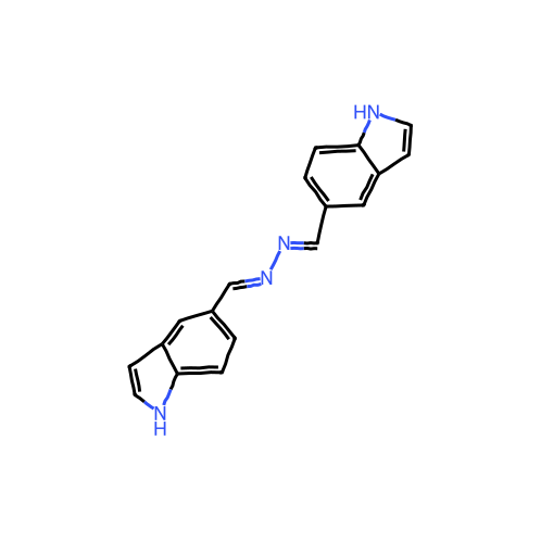 C(=N\N=C\c1ccc2[nH]ccc2c1)/c1ccc2[nH]ccc2c1